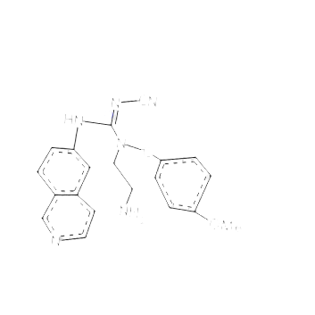 COc1ccc(CN(CCN)/C(=N\C#N)Nc2ccc3cnccc3c2)cc1